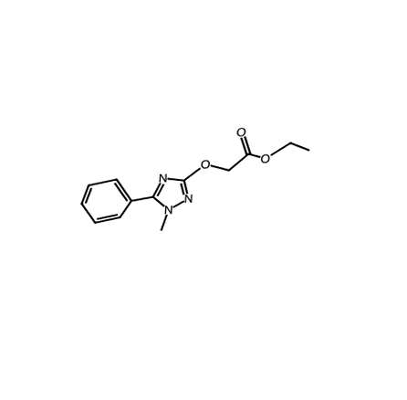 CCOC(=O)COc1nc(-c2ccccc2)n(C)n1